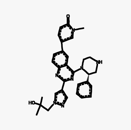 Cn1cc(-c2ccc3nc(-c4cnn(CC(C)(C)O)c4)nc(N4CCNC[C@@H]4c4ccccc4)c3c2)ccc1=O